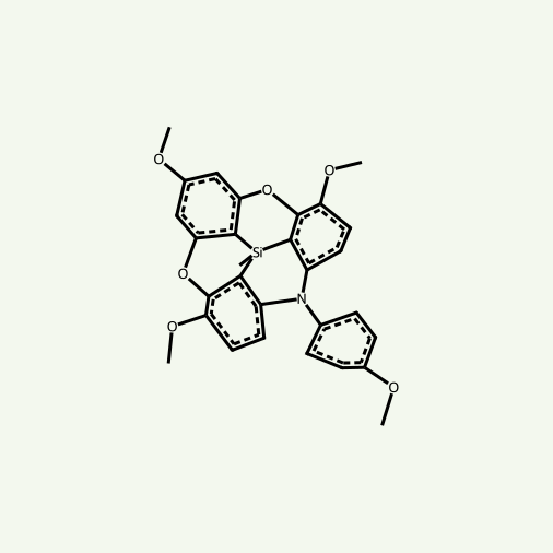 COc1ccc(N2c3ccc(OC)c4c3[Si]3(C)c5c(cc(OC)cc5Oc5c(OC)ccc2c53)O4)cc1